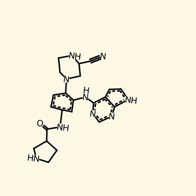 N#CC1CN(c2ccc(NC(=O)C3CCNC3)cc2Nc2ncnc3[nH]ccc23)CCN1